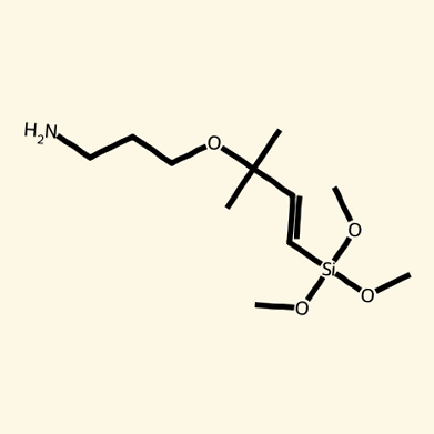 CO[Si](C=CC(C)(C)OCCCN)(OC)OC